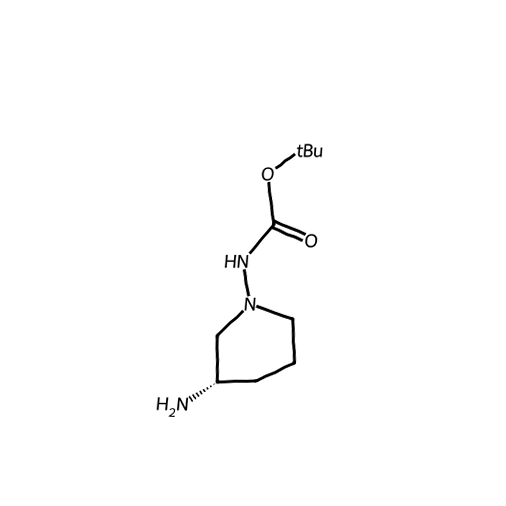 CC(C)(C)OC(=O)NN1CCC[C@H](N)C1